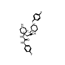 C#CC[C@@]1(NC(=O)Nc2ccc(F)cc2)CCNC[C@@H]1CN1CCC[C@@H](Cc2ccc(F)cc2)C1